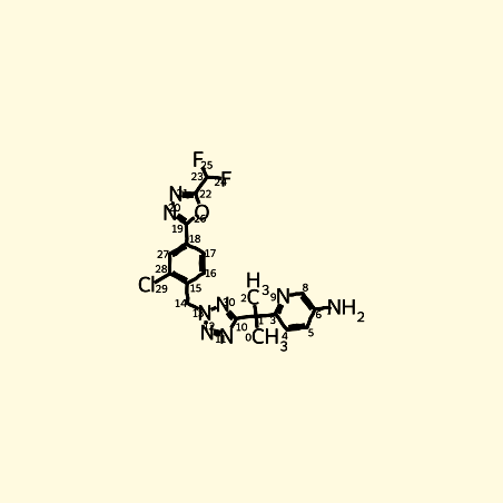 CC(C)(c1ccc(N)cn1)c1nnn(Cc2ccc(-c3nnc(C(F)F)o3)cc2Cl)n1